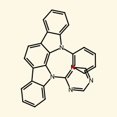 c1ccc(-n2c3ccccc3c3ccc4c5ccccc5n(-c5ncncn5)c4c32)cc1